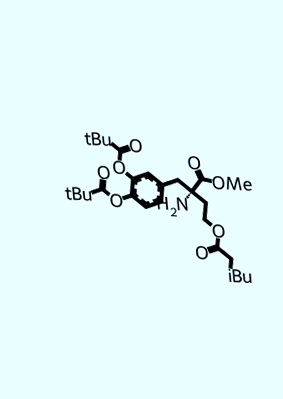 CCC(C)CC(=O)OCC[C@@](N)(Cc1ccc(OC(=O)C(C)(C)C)c(OC(=O)C(C)(C)C)c1)C(=O)OC